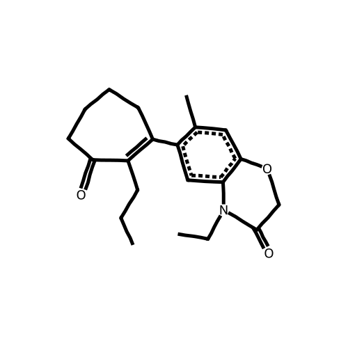 CCCC1=C(c2cc3c(cc2C)OCC(=O)N3CC)CCCCC1=O